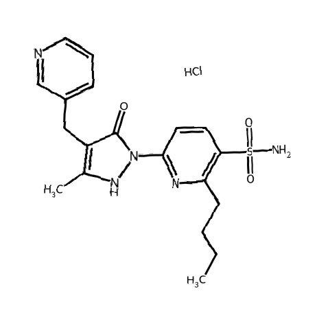 CCCCc1nc(-n2[nH]c(C)c(Cc3cccnc3)c2=O)ccc1S(N)(=O)=O.Cl